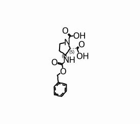 O=C(N[C@@H]1CCN(C(=O)O)[C@@H]1C(=O)O)OCc1ccccc1